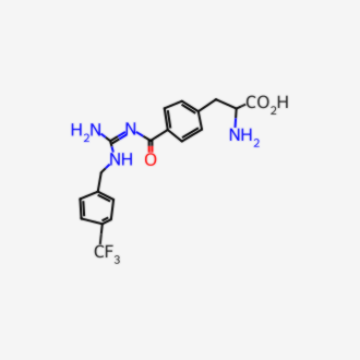 NC(=NC(=O)c1ccc(CC(N)C(=O)O)cc1)NCc1ccc(C(F)(F)F)cc1